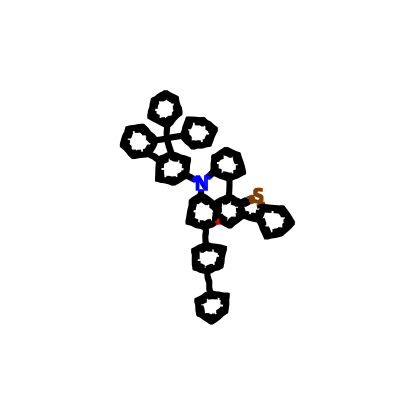 c1ccc(-c2ccc(-c3ccc(N(c4ccc5c(c4)C(c4ccccc4)(c4ccccc4)c4ccccc4-5)c4ccccc4-c4cccc5c4sc4ccccc45)cc3)cc2)cc1